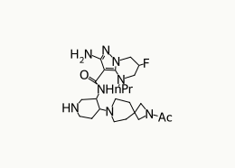 CCCN1CC(F)Cn2nc(N)c(C(=O)NC3CNCCC3N3CCC4(CC3)CN(C(C)=O)C4)c21